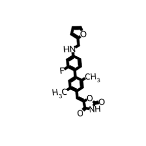 Cc1cc(-c2ccc(NCc3ccco3)cc2F)c(C)cc1C=C1OC(=O)NC1=O